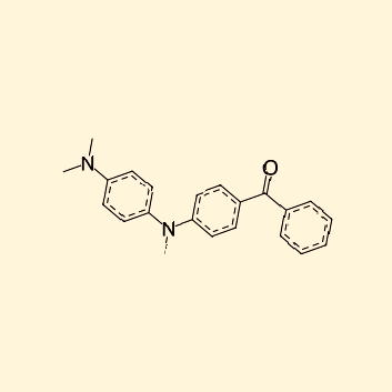 CN(C)c1ccc(N(C)c2ccc(C(=O)c3ccccc3)cc2)cc1